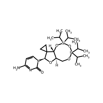 CC(C)[Si]1(C(C)C)OC[C@H]2O[C@@H](n3ccc(N)nc3=O)C3(CC3)[C@@H]2O[Si](C(C)C)(C(C)C)O1